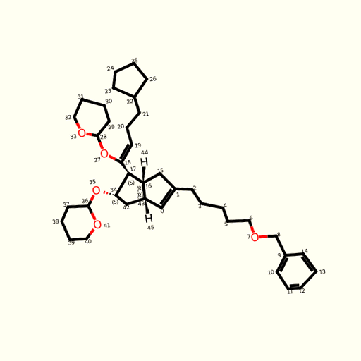 C1=C(CCCCCOCc2ccccc2)C[C@H]2[C@H](C(=CCCC3CCCC3)OC3CCCCO3)[C@@H](OC3CCCCO3)C[C@@H]12